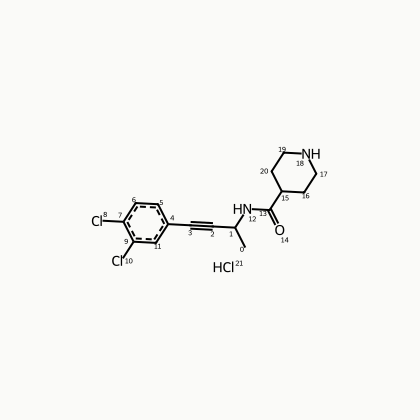 CC(C#Cc1ccc(Cl)c(Cl)c1)NC(=O)C1CCNCC1.Cl